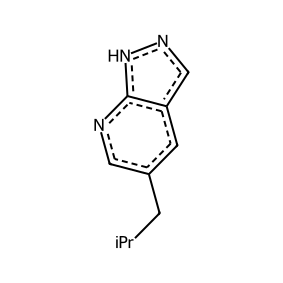 CC(C)Cc1cnc2[nH]ncc2c1